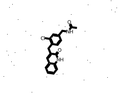 CC(=O)NCc1ccc(Cc2cc3ccccc3[nH]c2=O)c(Cl)c1